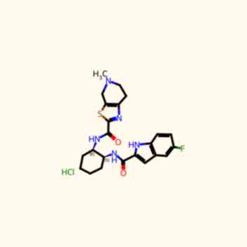 CN1CCc2nc(C(=O)N[C@@H]3CCCC[C@@H]3NC(=O)c3cc4cc(F)ccc4[nH]3)sc2C1.Cl